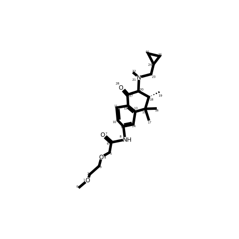 COCCOCC(=O)Nc1ccc2c(c1)C(C)(C)[C@@H](C)C(N(C)CC1CC1)C2=O